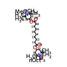 CCCCCCCCON1C(C)(C)CC(OC(=O)CCCCCCCCC(=O)OC2CC(C)(C)N(OC)C(C)(C)C2)CC1(C)C